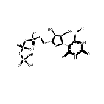 CCOc1[nH]c(=O)[nH]c(=O)c1[C@@H]1O[C@H](COP(=O)(O)OP(=O)(O)OP(=O)(O)O)[C@@H](O)[C@H]1O